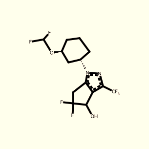 OC1c2c(C(F)(F)F)nn([C@H]3CCC[C@H](OC(F)F)C3)c2CC1(F)F